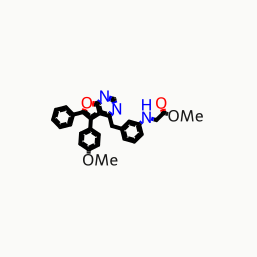 COC(=O)CNc1cccc(Cc2ncnc3oc(-c4ccccc4)c(-c4ccc(OC)cc4)c23)c1